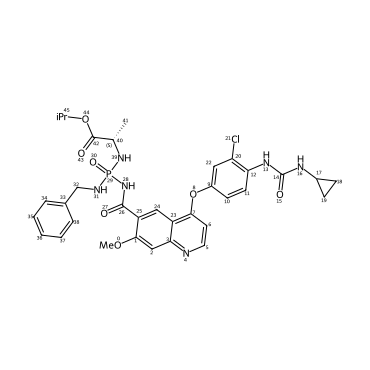 COc1cc2nccc(Oc3ccc(NC(=O)NC4CC4)c(Cl)c3)c2cc1C(=O)NP(=O)(NCc1ccccc1)N[C@@H](C)C(=O)OC(C)C